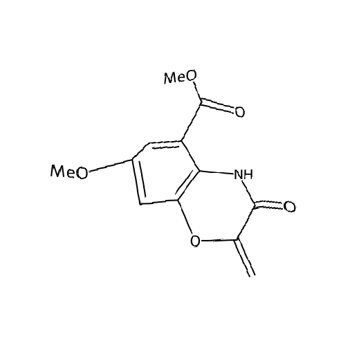 C=C1Oc2cc(OC)cc(C(=O)OC)c2NC1=O